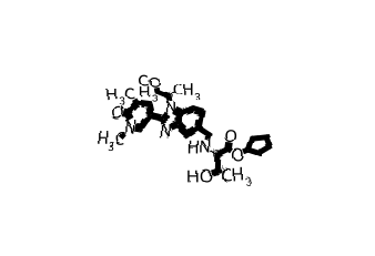 COC[C@H](C)n1c(-c2cc(C)c(=O)n(C)c2)nc2cc(CN[C@H](C(=O)OC3CCCC3)[C@@H](C)O)ccc21